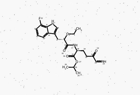 CCO[C@@H](Cc1c[nH]c2c(F)cccc12)C(=O)N[C@@H](CCC(=O)C=N)C(=O)OC(C)C